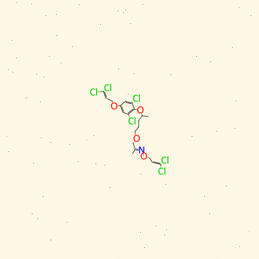 CC(COCCCC(C)Oc1c(Cl)cc(OCC=C(Cl)Cl)cc1Cl)=NOCC=C(Cl)Cl